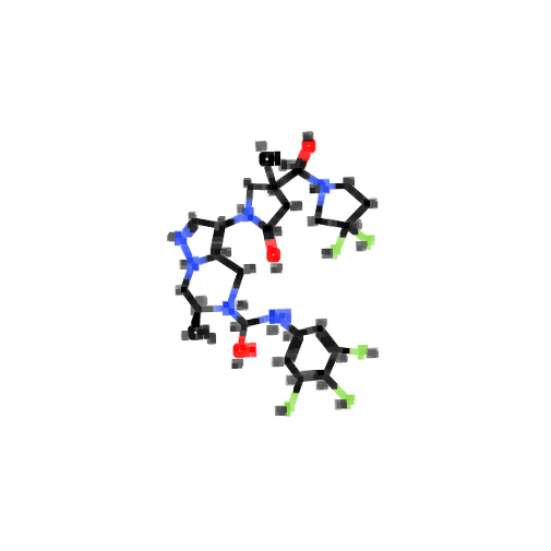 C[C@H]1Cn2ncc(N3CC(C)(C(=O)N4CCC(F)(F)C4)CC3=O)c2CN1C(O)Nc1cc(F)c(F)c(F)c1